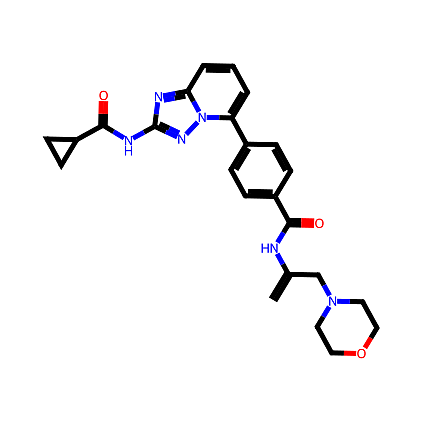 C=C(CN1CCOCC1)NC(=O)c1ccc(-c2cccc3nc(NC(=O)C4CC4)nn23)cc1